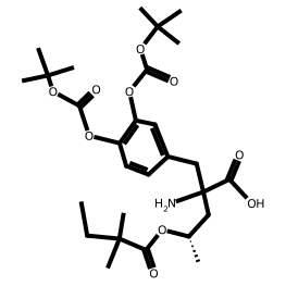 CCC(C)(C)C(=O)O[C@@H](C)CC(N)(Cc1ccc(OC(=O)OC(C)(C)C)c(OC(=O)OC(C)(C)C)c1)C(=O)O